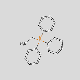 BC[PH](c1ccccc1)(c1ccccc1)c1ccccc1